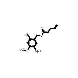 C=CCCC(=O)OCc1cc(OC)c(OCCCC)cc1[N+](=O)[O-]